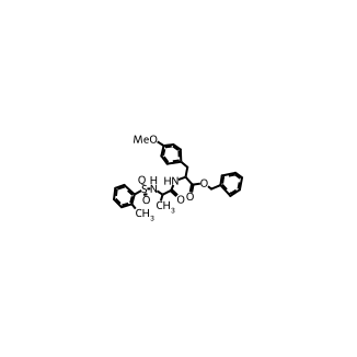 COc1ccc(CC(NC(=O)C(C)NS(=O)(=O)c2ccccc2C)C(=O)OCc2ccccc2)cc1